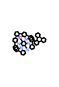 N#Cc1c(-n2c3ccccc3c3ccccc32)c(-n2c3ccccc3c3ccccc32)c(C#N)c(-n2c3cc(-c4cccc5c6ccccc6c6ccccc6c45)ccc3c3ccc4c5ccccc5oc4c32)c1-n1c2ccccc2c2ccccc21